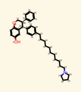 Oc1ccc2c(c1)[C@H](c1ccc(CCCCCCCCCCCN3CCCC3)cc1)[C@H](c1ccccc1)CO2